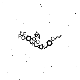 CCCCOc1ccc(CN2CC3C(C2)C3CN(Cc2cccc(OC(F)(F)F)c2)C(=O)Oc2cscn2)cc1